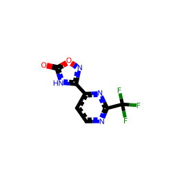 O=c1[nH]c(-c2ccnc(C(F)(F)F)n2)no1